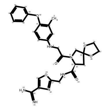 Cc1cc(NCC(=O)N2CC3(C[C@H]2C(=O)NCc2nc(C(=N)N)co2)OCCO3)ccc1Oc1ccccc1